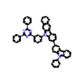 c1ccc(-c2nc(-c3ccccc3)nc(-c3cccc(-n4c5cc(-c6ccc7c(c6)c6ccccc6n7-c6ccccc6)ccc5c5cc6ccccc6cc54)c3)n2)cc1